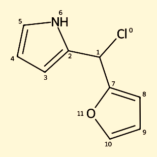 ClC(c1ccc[nH]1)c1ccco1